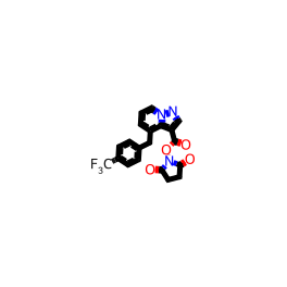 O=C(ON1C(=O)CCC1=O)c1cnn2cccc(Cc3ccc(C(F)(F)F)cc3)c12